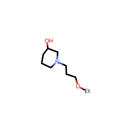 CCOCCCN1CCCC(O)C1